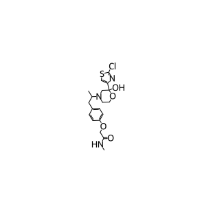 CNC(=O)COc1ccc(CC(C)N2CCOC(O)(c3csc(Cl)n3)C2)cc1